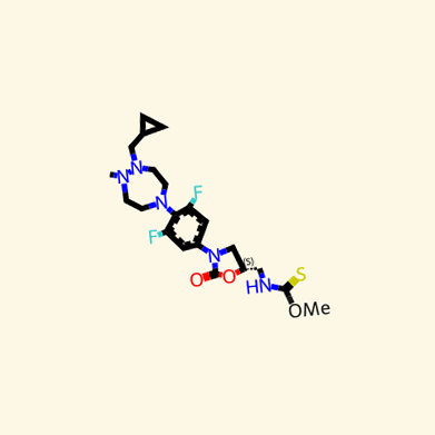 COC(=S)NC[C@H]1CN(c2cc(F)c(N3CCN(C)N(CC4CC4)CC3)c(F)c2)C(=O)O1